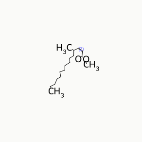 CCCCCCCCCCCC(C)/C=C\C(=O)OC